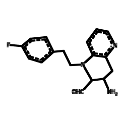 NC1Cc2ncccc2N(CCc2ccc(F)cc2)C1C=O